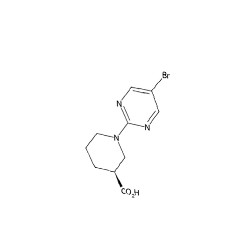 O=C(O)[C@H]1CCCN(c2ncc(Br)cn2)C1